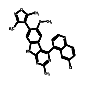 COc1cc2c(cc1-c1c(C)noc1C)[nH]c1nc(C)nc(-c3ccnc4ccc(Cl)cc34)c12